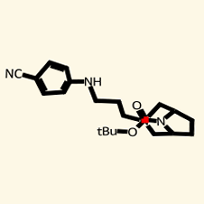 CC(C)(C)OC(=O)N1C2CCC1CN(CCCNc1ccc(C#N)cc1)C2